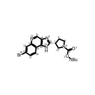 CC(C)(C)OC(=O)N1CC[C@@H](c2nc3cnc4cc(Br)ccc4c3[nH]2)C1